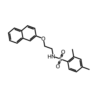 Cc1ccc(S(=O)(=O)NCCOc2ccc3ccccc3c2)c(C)c1